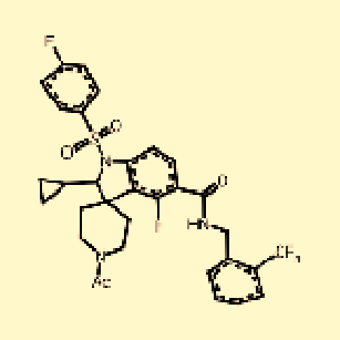 CC(=O)N1CCC2(CC1)c1c(ccc(C(=O)NCc3ccccc3C(F)(F)F)c1F)N(S(=O)(=O)c1ccc(F)cc1)C2C1CC1